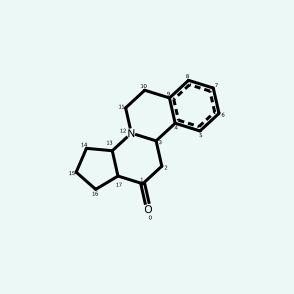 O=C1CC2c3ccccc3CCN2C2CCCC12